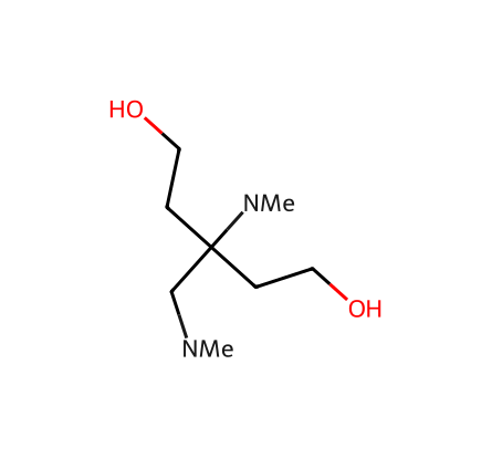 CNCC(CCO)(CCO)NC